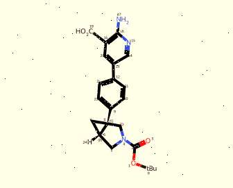 CC(C)(C)OC(=O)N1C[C@@H]2C[C@]2(c2ccc(-c3cnc(N)c(C(=O)O)c3)cc2)C1